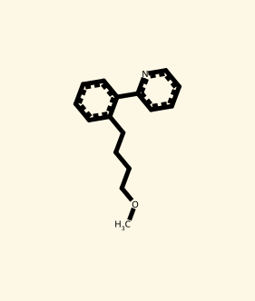 COCCCCc1ccccc1-c1ccccn1